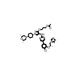 CC(=O)OCCCOc1nn([C@H]2CC[C@H](N3C[C@@H](C)O[C@@H](C)C3)CC2)cc1Nc1ncc(-c2ccc(Cl)c(O[C@@H](C)Cn3cnnn3)c2)cn1